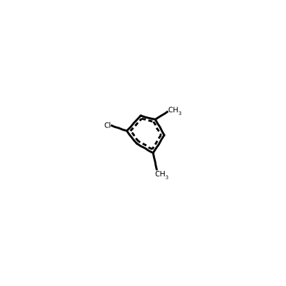 Cc1cc(C)cc(Cl)c1